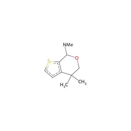 CNC1OCC(C)(C)c2ccsc21